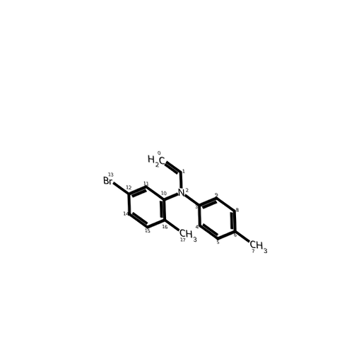 C=CN(c1ccc(C)cc1)c1cc(Br)ccc1C